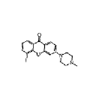 CN1CCN(c2ccc3c(=O)c4cccc(F)c4oc3c2)CC1